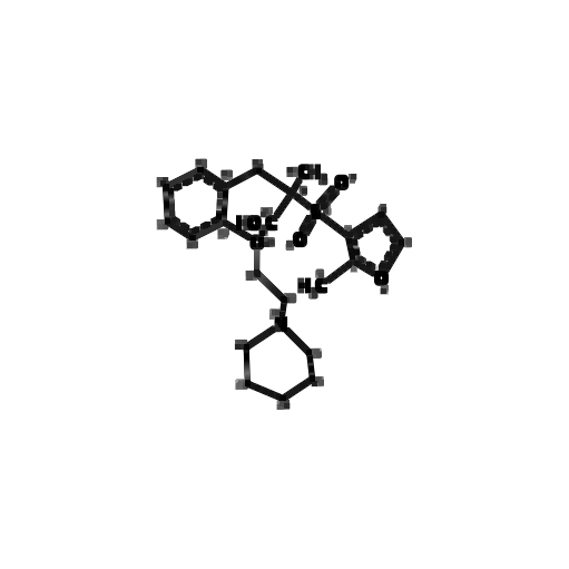 Cc1occc1S(=O)(=O)C(C)(Cc1ccccc1OCCN1CCCCC1)C(=O)O